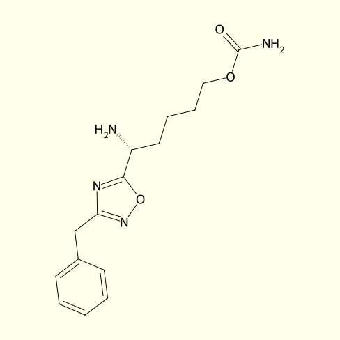 NC(=O)OCCCC[C@@H](N)c1nc(Cc2ccccc2)no1